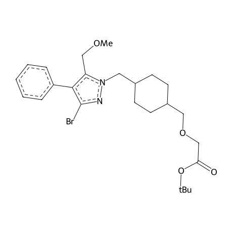 COCc1c(-c2ccccc2)c(Br)nn1CC1CCC(COCC(=O)OC(C)(C)C)CC1